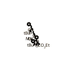 CCOC(=O)CC1OC(c2cccc(OCCCN(CCCc3ccccc3)C(=O)OC(C)(C)C)c2OC)c2cc(Cl)ccc2N(CC(C)(C)C)C1=O